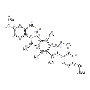 CC(C)(C)Oc1ccc(C2=C(C#N)c3c(C#N)c4c(c(C#N)c3/C2=C/C#N)/C(=C/C#N)C(c2ccc(OC(C)(C)C)cc2)=C4C#N)cc1